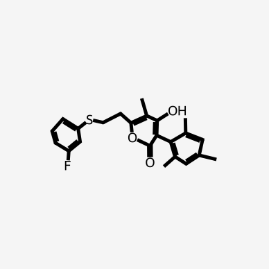 Cc1cc(C)c(-c2c(O)c(C)c(CCSc3cccc(F)c3)oc2=O)c(C)c1